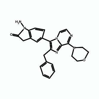 NN1C(=O)Cc2cc(-c3c(Cc4ccccc4)nc4c(N5CCOCC5)nccn34)ccc21